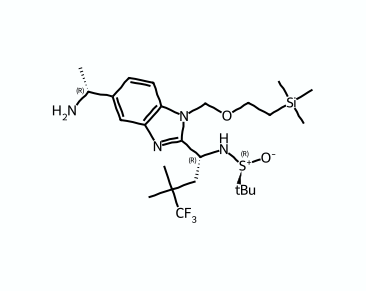 C[C@@H](N)c1ccc2c(c1)nc([C@@H](CC(C)(C)C(F)(F)F)N[S@@+]([O-])C(C)(C)C)n2COCC[Si](C)(C)C